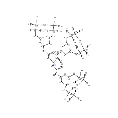 O=C(/C=C(/CC(=O)OC(COCC(F)(F)C(F)(F)F)COCC(F)(F)C(F)(F)F)C(=O)OC(COCC(F)(F)C(F)(F)F)COCC(F)(F)C(F)(F)F)OC(COCC(F)(F)C(F)(F)F)COCC(F)(F)C(F)(F)F